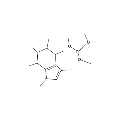 C[C]1C=C(C)C2=C1C(C)C(C)C(C)C2C.C[O][Ti]([O]C)[O]C